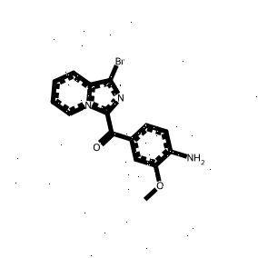 COc1cc(C(=O)c2nc(Br)c3ccccn23)ccc1N